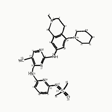 CN1CCc2c(cc(Nc3ncc(C#N)c(Nc4cccc(N=S(C)(C)=O)n4)n3)cc2N2CCCCC2)C1